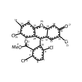 COC(=O)c1c(Cl)ccc(Cl)c1-c1c2cc(Cl)c(=O)cc-2oc2cc(C)c(Cl)cc12